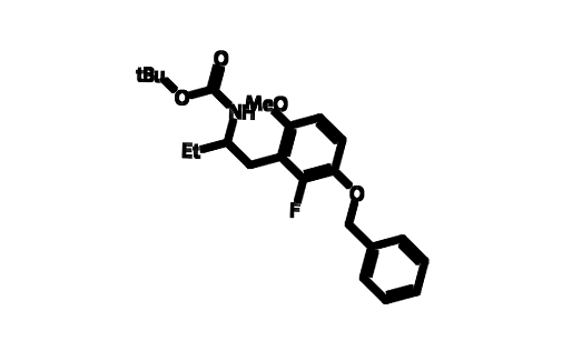 CCC(Cc1c(OC)ccc(OCc2ccccc2)c1F)NC(=O)OC(C)(C)C